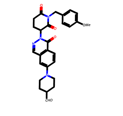 COc1ccc(CN2C(=O)CCC(n3ncc4cc(N5CCC(C=O)CC5)ccc4c3=O)C2=O)cc1